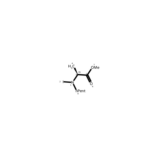 CCCCCN(I)[C@@H](C)C(=O)OC